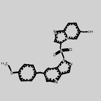 COc1ccc(-c2cnc3cnn(S(=O)(=O)c4cnc5ccc(O)cn45)c3c2)cc1